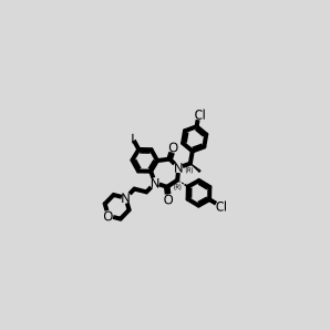 C[C@H](c1ccc(Cl)cc1)N1C(=O)c2cc(I)ccc2N(CCN2CCOCC2)C(=O)[C@H]1c1ccc(Cl)cc1